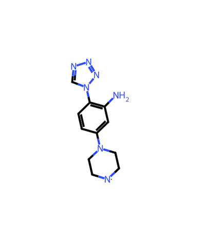 Nc1cc(N2CC[N]CC2)ccc1-n1cnnn1